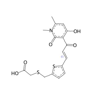 Cc1cc(O)c(C(=O)/C=C/c2ccc(CSCC(=O)O)s2)c(=O)n1C